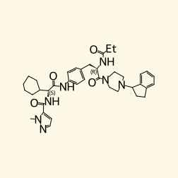 CCC(=O)N[C@H](Cc1ccc(NC(=O)[C@@H](NC(=O)c2ccnn2C)C2CCCCC2)cc1)C(=O)N1CCN(C2CCc3ccccc32)CC1